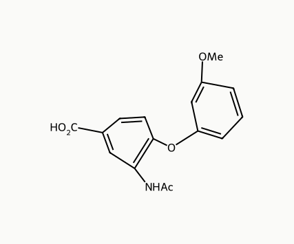 COc1cccc(Oc2ccc(C(=O)O)cc2NC(C)=O)c1